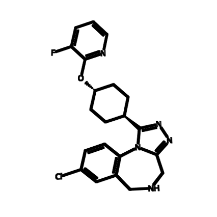 Fc1cccnc1O[C@H]1CC[C@H](c2nnc3n2-c2ccc(Cl)cc2CNC3)CC1